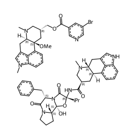 CC(C)[C@@]1(NC(=O)[C@@H]2C[C@@H]3c4cccc5[nH]cc(c45)C[C@H]3N(C)C2)O[C@@]2(O)[C@@H]3CCCN3C(=O)[C@H](Cc3ccccc3)N2C1=O.CO[C@]12C[C@@H](COC(=O)c3cncc(Br)c3)CN(C)[C@@H]1Cc1cn(C)c3cccc2c13